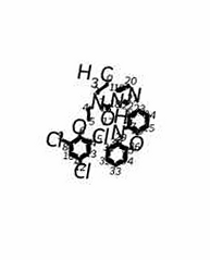 CCCN(CCOc1c(Cl)cc(Cl)cc1Cl)C(=O)n1ccnc1.c1ccc2c(c1)Nc1ccccc1O2